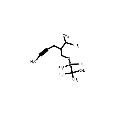 CC#CCC(CO[Si](C)(C)C(C)(C)C)C(C)C